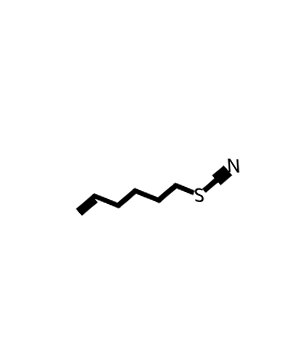 C=CCCCCSC#N